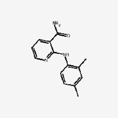 Cc1ccc(Nc2ncccc2C(N)=O)c(C)c1